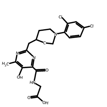 Cc1nc(CC2CCN(c3ccc(Cl)cc3Cl)CC2)nc(C(=O)NCC(=O)O)c1O